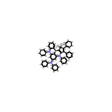 CC1(C)C2=C(C(c3ccccc3)=C1C1=CCCC=C1)N(c1ccccc1)c1cc(N(c3ccccc3)c3ccccc3)cc3c1B2c1ccccc1N3C1=CCCC=C1